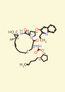 C=CCCC[C@@H]1CCC[C@H]1OC(=O)N[C@H]1CCCCC/C=C\[C@@H]2C[C@@]2(C(=O)O)NC(=O)[C@@H]2C[C@@H](Oc3cc4ccccc4nc3C=C)CN2C1=O